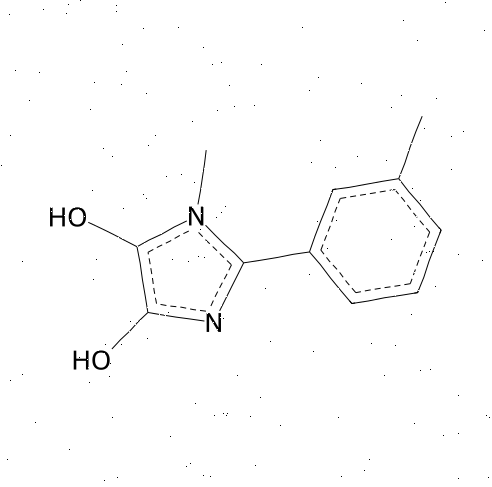 Cc1cccc(-c2nc(O)c(O)n2C)c1